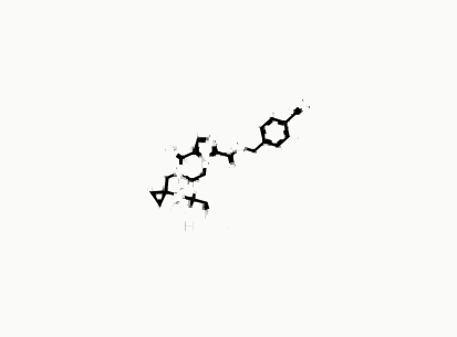 C=CC(C)(C)S(=O)(=O)C1(CN2CCn3c(cnc3C(=O)NCc3ccc(C#N)cc3)C2=O)CC1